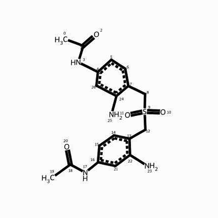 CC(=O)Nc1ccc(CS(=O)(=O)Cc2ccc(NC(C)=O)cc2N)c(N)c1